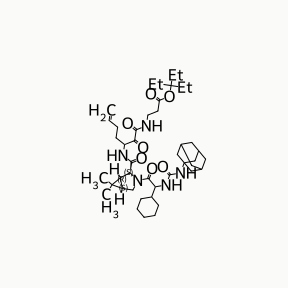 C=CCCC(NC(=O)[C@@H]1[C@@H]2[C@H](CN1C(=O)C(NC(=O)NC13CC4CC(CC(C4)C1)C3)C1CCCCC1)C2(C)C)C(=O)C(=O)NCCC(=O)OC(CC)(CC)CC